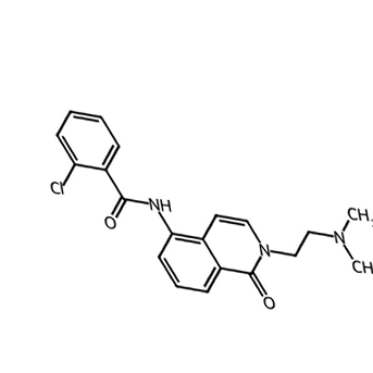 CN(C)CCn1ccc2c(NC(=O)c3ccccc3Cl)cccc2c1=O